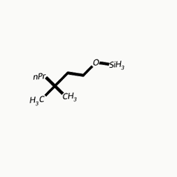 CCCC(C)(C)CCO[SiH3]